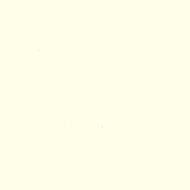 CCCCc1cccc(CCCCCC=O)c1